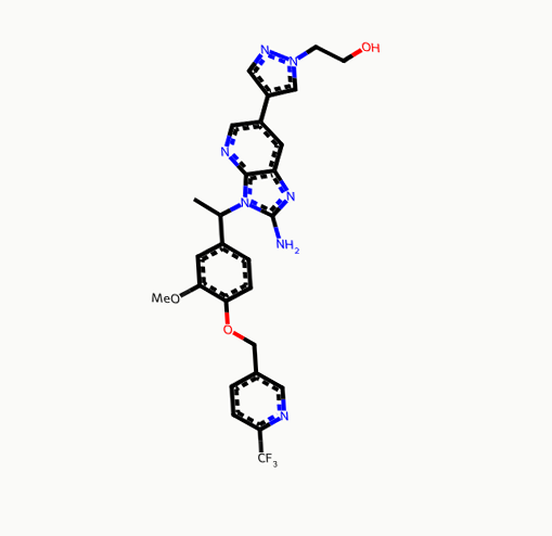 COc1cc(C(C)n2c(N)nc3cc(-c4cnn(CCO)c4)cnc32)ccc1OCc1ccc(C(F)(F)F)nc1